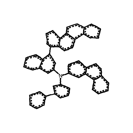 c1ccc(-c2cccc(N(c3cc(-c4cccc5c4ccc4c6ccccc6ccc54)c4ccccc4c3)c3ccc4ccc5ccccc5c4c3)c2)cc1